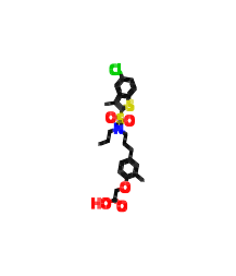 CCCN(CCCc1ccc(OCC(=O)O)c(C)c1)S(=O)(=O)c1sc2ccc(Cl)cc2c1C